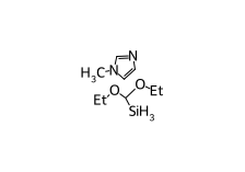 CCOC([SiH3])OCC.Cn1ccnc1